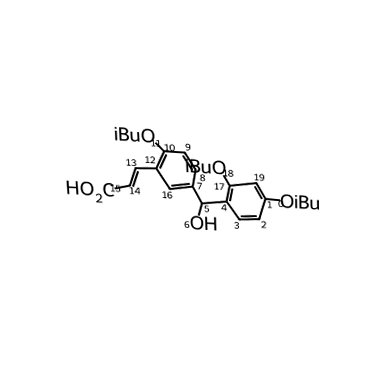 CC(C)COc1ccc(C(O)c2ccc(OCC(C)C)c(C=CC(=O)O)c2)c(OCC(C)C)c1